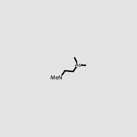 [CH2]NCC[As](C)C